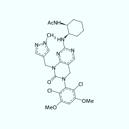 COc1cc(OC)c(Cl)c(N2Cc3cnc(N[C@@H]4CCCC[C@@H]4NC(C)=O)nc3N(Cc3cnn(C)c3)C2=O)c1Cl